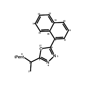 CCC[C](C)C(C)c1nnc(-c2cccc3ccccc23)o1